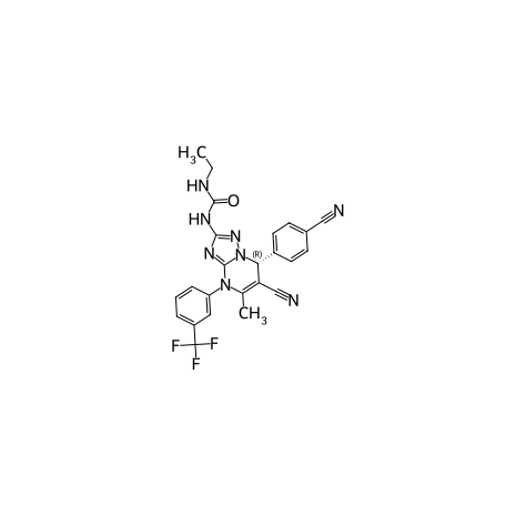 CCNC(=O)Nc1nc2n(n1)[C@H](c1ccc(C#N)cc1)C(C#N)=C(C)N2c1cccc(C(F)(F)F)c1